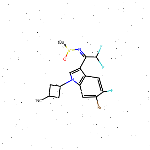 CC(C)(C)[S@+]([O-])/N=C(\c1cn(C2CC(C#N)C2)c2cc(Br)c(F)cc12)C(F)F